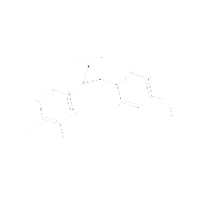 COc1ccc(C2C(c3ccc(Br)c(Cl)c3)C2(C)O)cc1